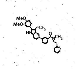 COc1ccc(-c2[nH]c3ccc(-c4cccc(C(=O)N(C)CCc5ccccn5)c4)cc3c2CC(F)(F)F)cc1OC